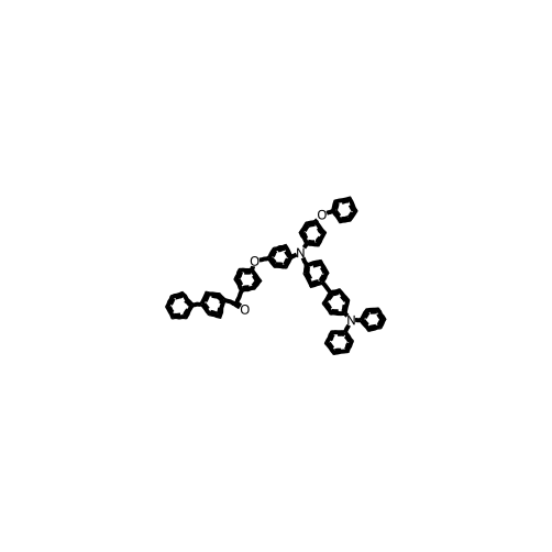 O=C(c1ccc(Oc2ccc(N(c3ccc(Oc4ccccc4)cc3)c3ccc(-c4ccc(N(c5ccccc5)c5ccccc5)cc4)cc3)cc2)cc1)c1ccc(-c2ccccc2)cc1